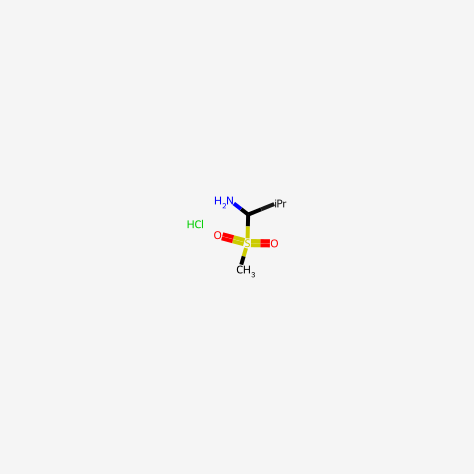 CC(C)C(N)S(C)(=O)=O.Cl